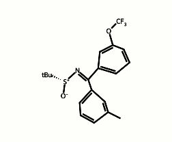 Cc1cccc(/C(=N\[S@+]([O-])C(C)(C)C)c2cccc(OC(F)(F)F)c2)c1